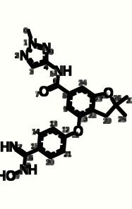 Cn1ncc(NC(=O)c2cc(Oc3ccc(C(=N)NO)cc3)c3c(c2)OC(C)(C)C3)n1